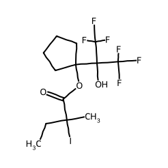 CCC(C)(I)C(=O)OC1(C(O)(C(F)(F)F)C(F)(F)F)CCCC1